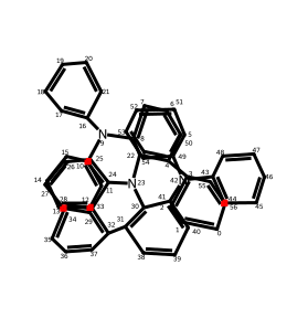 c1ccc(-c2cccc(N(c3ccccc3)c3ccccc3)c2N(c2ccccc2)c2c(-c3ccccc3)cccc2N(c2ccccc2)c2ccccc2)cc1